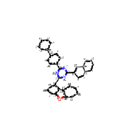 C1=CC2C=CC(c3nc(-c4ccc(-c5ccccc5)cc4)nc(-c4cccc5oc6ccccc6c45)n3)=CC2C=C1